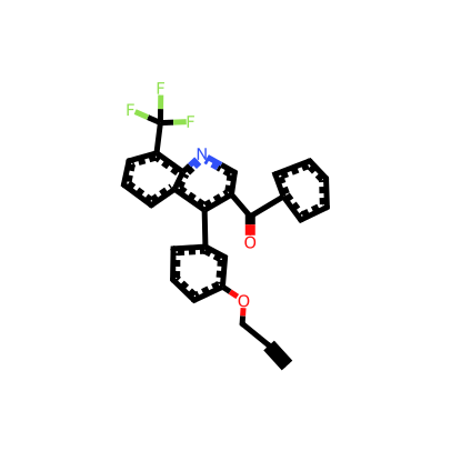 C#CCOc1cccc(-c2c(C(=O)c3ccccc3)cnc3c(C(F)(F)F)cccc23)c1